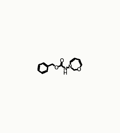 O=C(NN1C=CC=COC1)OCc1ccccc1